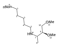 CCCCCCCCCCCCCCNC(C)[C@@H](COC)OC